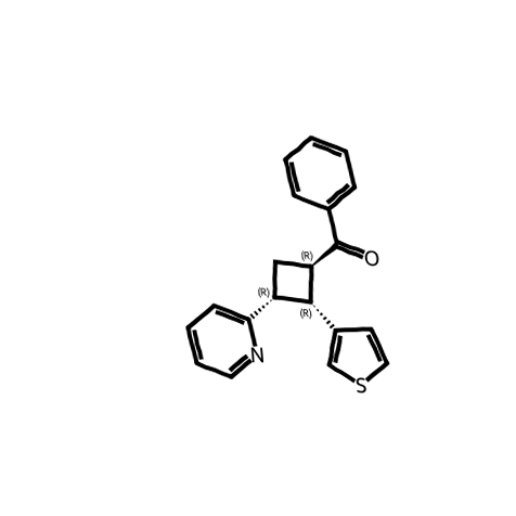 O=C(c1ccccc1)[C@@H]1C[C@@H](c2ccccn2)[C@H]1c1ccsc1